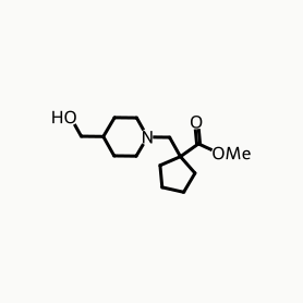 COC(=O)C1(CN2CCC(CO)CC2)CCCC1